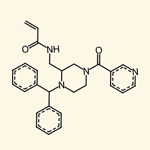 C=CC(=O)NCC1CN(C(=O)c2cccnc2)CCN1C(c1ccccc1)c1ccccc1